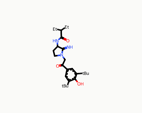 CCC(CC)C(=O)NC1CCN(CC(=O)c2cc(C(C)(C)C)c(O)c(C(C)(C)C)c2)C1=N